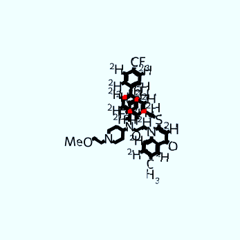 [2H]c1c([2H])c(F)c(F)c(C([2H])([2H])Sc2c([2H])c(=O)c3c([2H])c(C)c([2H])c([2H])c3n2CC(=O)N(C2CCN(CCOC)CC2)C([2H])([2H])c2c([2H])c([2H])c(-c3c([2H])c([2H])c(C(F)(F)F)c([2H])c3[2H])c([2H])c2[2H])c1[2H]